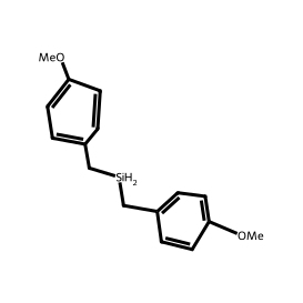 COc1ccc(C[SiH2]Cc2ccc(OC)cc2)cc1